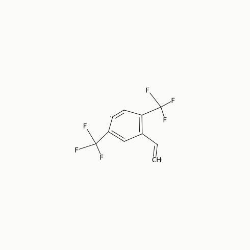 [CH]=Cc1cc(C(F)(F)F)[c]cc1C(F)(F)F